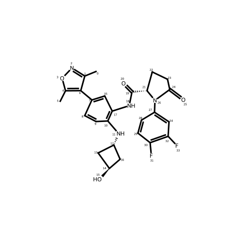 Cc1noc(C)c1-c1ccc(N[C@H]2C[C@H](O)C2)c(NC(=O)[C@@H]2CCC(=O)N2c2ccc(F)c(F)c2)c1